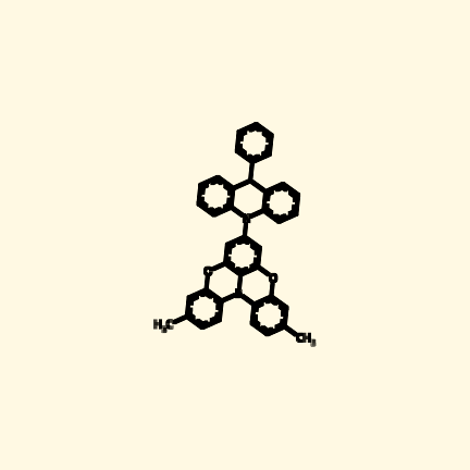 Cc1ccc2c(c1)Oc1cc(N3c4ccccc4C(c4ccccc4)c4ccccc43)cc3c1B2c1ccc(C)cc1O3